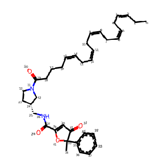 CC/C=C\C/C=C\C/C=C\C/C=C\C/C=C\CCCC(=O)N1CC[C@@H](CNC(=O)C2=CC(=O)C(C)(c3ccccc3)O2)C1